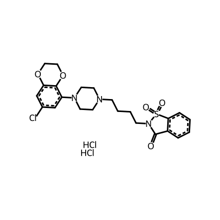 Cl.Cl.O=C1c2ccccc2S(=O)(=O)N1CCCCN1CCN(c2cc(Cl)cc3c2OCCO3)CC1